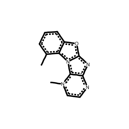 Cc1cccc2oc3nc4ncc[n+](C)c4n3c12